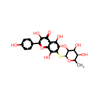 CC1O[C@@H](Sc2cc(O)c3c(=O)c(O)c(-c4ccc(O)cc4)oc3c2O)C(O)C(O)[C@H]1O